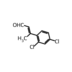 C/C(=C\C=O)c1ccc(Cl)cc1Cl